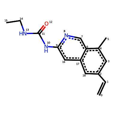 C=Cc1cc(C)c2cnc(NC(=O)NCC)cc2c1